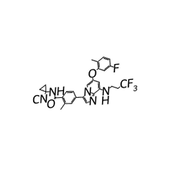 Cc1ccc(F)cc1Oc1cc(NCCC(F)(F)F)c2ncc(-c3ccc(C(=O)NC4(C#N)CC4)c(C)c3)n2c1